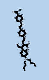 CCCCN(CCCC)c1ccc2c(CC)c(/C=C/c3ccc(/C=C/c4ccc(C(=O)O)cc4)cc3)c(=O)oc2c1